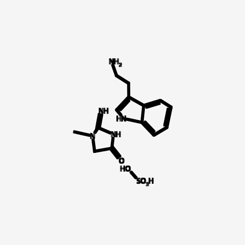 CN1CC(=O)NC1=N.NCCc1c[nH]c2ccccc12.O=S(=O)(O)O